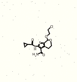 NC(=O)c1c(NC(=O)C2CC2)sc2c1CCOC2OCCCl